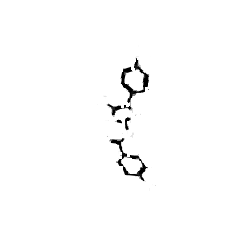 Cc1ccc(-c2nc(NC(=O)c3ccc(C#N)cc3)sc2C)cc1